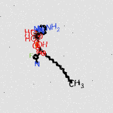 CCCCCCCCCCCCCCCCCCOC[C@H](COP(=O)(O)OC[C@H]1O[C@@](C#N)(c2ccc3c(N)ccnn23)[C@H](O)[C@@H]1O)OCc1cc(F)cc(C#N)c1